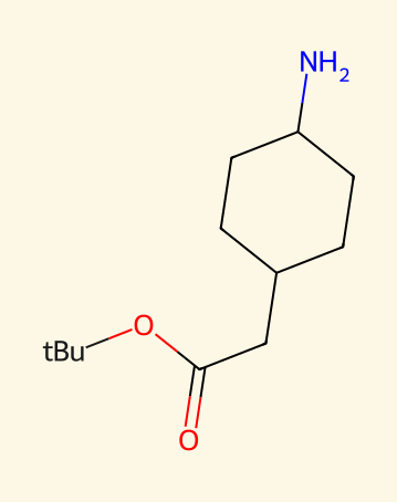 CC(C)(C)OC(=O)CC1CCC(N)CC1